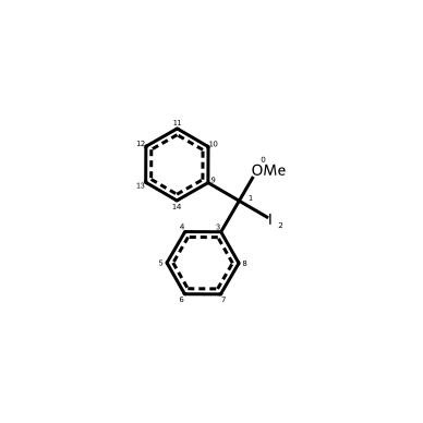 COC(I)(c1ccccc1)c1ccccc1